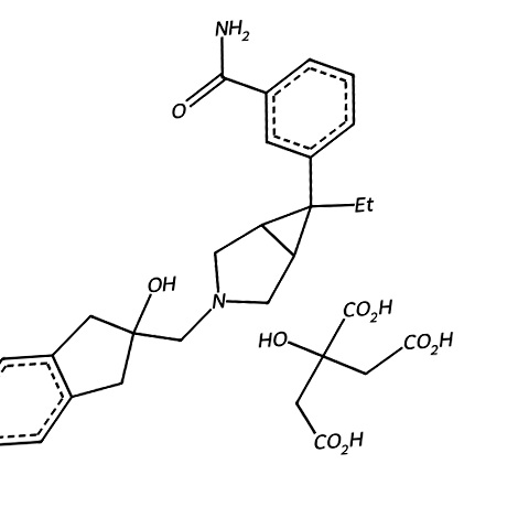 CCC1(c2cccc(C(N)=O)c2)C2CN(CC3(O)Cc4ccccc4C3)CC21.O=C(O)CC(O)(CC(=O)O)C(=O)O